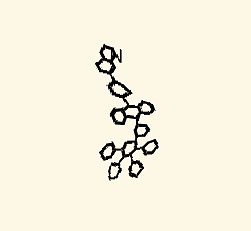 C1=CC(c2c(-c3ccccc3)cc(-c3cccc(-c4c5ccccc5c(-c5ccc(-c6ccc7cccnc7c6)cc5)c5ccccc45)c3)c(-c3ccccc3)c2-c2ccccc2)=CCC1